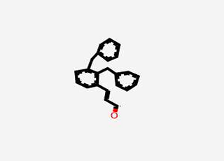 O=[C]/C=C/c1cccc(Cc2ccccc2)c1Cc1ccccc1